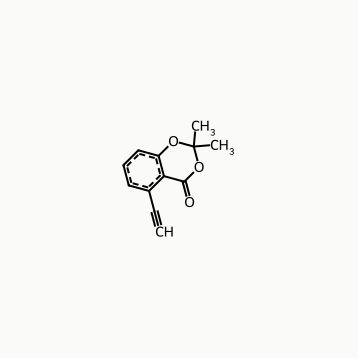 C#Cc1cccc2c1C(=O)OC(C)(C)O2